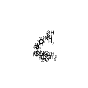 CC(CO)NCc1ccc(-c2cc(-c3cncc(-c4ccc(=O)n(C(C)(C)C#N)c4)n3)on2)cc1